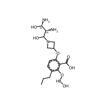 CCCc1ccc(OC2CN(C(O)[C@H](N)[C@H](N)O)C2)c(C(=O)O)c1OBO